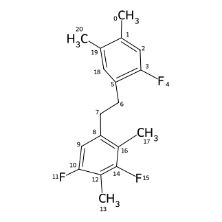 Cc1cc(F)c(CCc2cc(F)c(C)c(F)c2C)cc1C